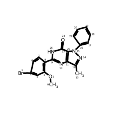 COc1cc(Br)ccc1-c1nc2c(C)nn(-c3ccccc3)c2c(=O)[nH]1